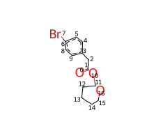 O=C(Cc1ccc(Br)cc1)OC1CCCCO1